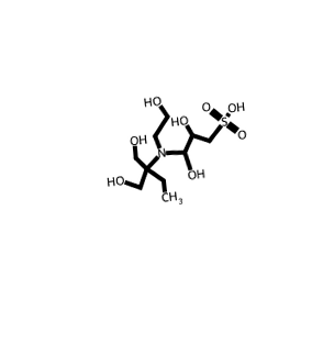 CCC(CO)(CO)N(CCO)C(O)C(O)CS(=O)(=O)O